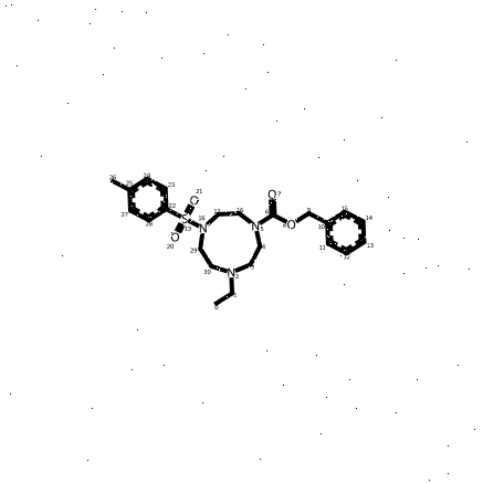 CCN1CCN(C(=O)OCc2ccccc2)CCN(S(=O)(=O)c2ccc(C)cc2)CC1